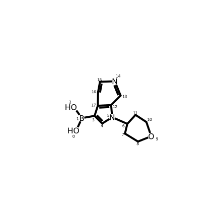 OB(O)c1cn(C2CCOCC2)c2cnccc12